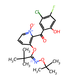 CC(C)(C)O/N=C(\Oc1ccc[n+]([O-])c1C(=O)c1cc(Cl)c(F)cc1O)C(C)(C)C